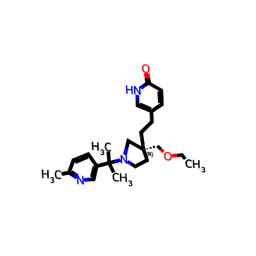 CCOC[C@]1(CCc2ccc(=O)[nH]c2)CCN(C(C)(C)c2ccc(C)nc2)C1